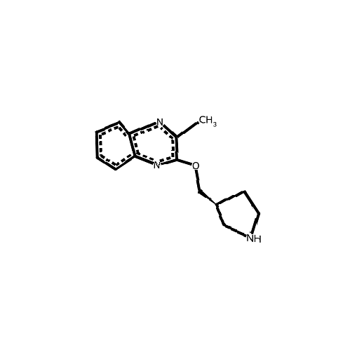 Cc1nc2ccccc2nc1OC[C@H]1CCNC1